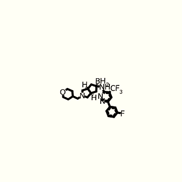 B[C@@]1(Nc2nnc(-c3cccc(F)c3)cc2C(F)(F)F)C[C@H]2CN(CC3CCOCC3)C[C@H]2C1